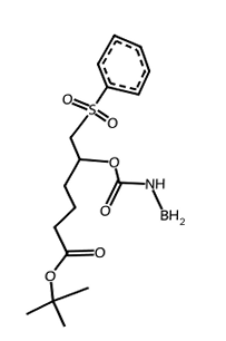 BNC(=O)OC(CCCC(=O)OC(C)(C)C)CS(=O)(=O)c1ccccc1